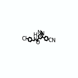 N#Cc1ccc(-c2cc(C(=O)NCc3ccc(Cl)cc3)cc3ncnn23)cc1